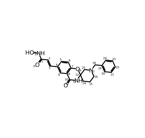 O=C(/C=C/c1ccc2c(c1)C(=O)NC1(CCCN(Cc3ccccc3)C1)O2)NO